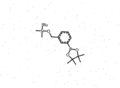 CC1(C)OB(c2cccc(CO[Si](C)(C)C(C)(C)C)c2)OC1(C)C